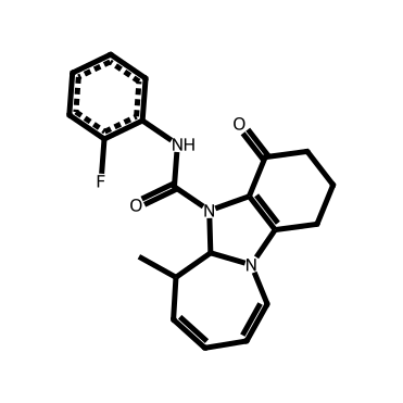 CC1C=CC=CN2C3=C(C(=O)CCC3)N(C(=O)Nc3ccccc3F)C12